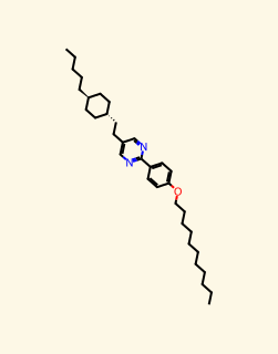 CCCCCCCCCCCOc1ccc(-c2ncc(CC[C@H]3CC[C@H](CCCCC)CC3)cn2)cc1